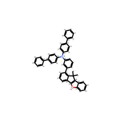 CC1(C)c2c(-c3cccc(N(c4ccc(-c5ccccc5)cc4)c4ccc(-c5ccccc5)cc4)c3)cccc2-c2oc3ccccc3c21